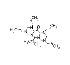 C=CCN1CN(CC=C)C(C(=O)C2N(CC=C)CN(CC=C)CN2CC=C)N(CC=C)C1